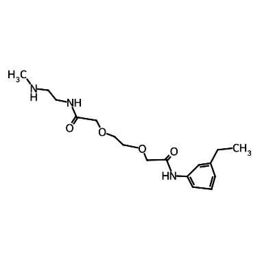 CCc1cccc(NC(=O)COCCOCC(=O)NCCNC)c1